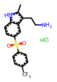 Cc1[nH]c2ccc(S(=O)(=O)c3ccc(C(F)(F)F)cc3)cc2c1CCN.Cl